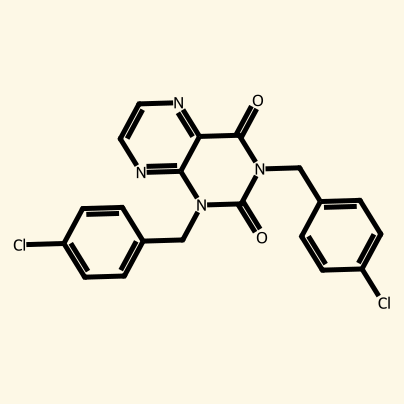 O=c1c2nccnc2n(Cc2ccc(Cl)cc2)c(=O)n1Cc1ccc(Cl)cc1